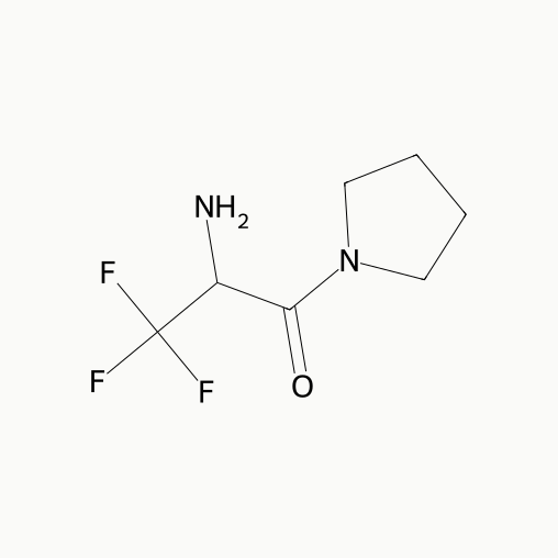 NC(C(=O)N1CCCC1)C(F)(F)F